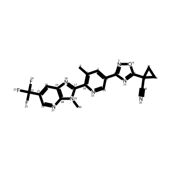 Cc1cc(-c2noc(C3(C#N)CC3)n2)cnc1-c1nc2cc(C(F)(F)F)cnc2n1C